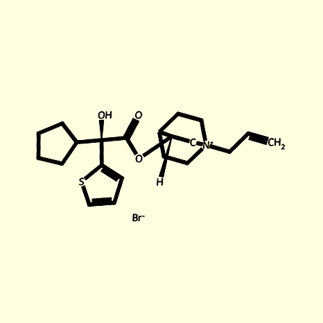 C=CC[N+]12CCC(CC1)[C@@H](OC(=O)[C@](O)(c1cccs1)C1CCCC1)C2.[Br-]